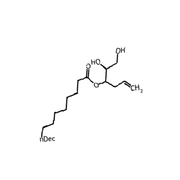 C=CCC(OC(=O)CCCCCCCCCCCCCCCCC)C(O)CO